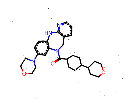 O=C(C1CCC(C2CCOCC2)CC1)N1Cc2cccnc2Nc2ccc(N3CCOCC3)cc21